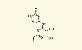 CCC(=O)OC(Nc1cc[nH]c(=O)n1)C(O)CO